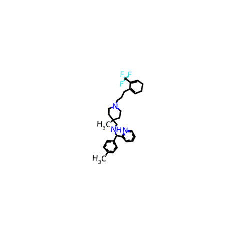 Cc1ccc(C(NCC2(C)CCN(CCCC3=CCCC=C3C(F)(F)F)CC2)c2ccccn2)cc1